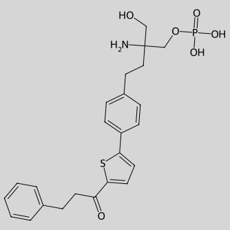 NC(CO)(CCc1ccc(-c2ccc(C(=O)CCc3ccccc3)s2)cc1)COP(=O)(O)O